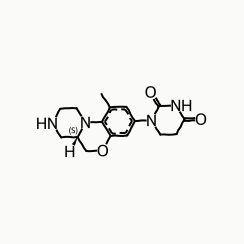 Cc1cc(N2CCC(=O)NC2=O)cc2c1N1CCNC[C@H]1CO2